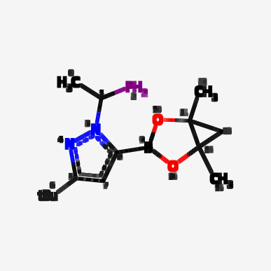 CC(P)n1nc(C(C)(C)C)cc1B1OC2(C)CC2(C)O1